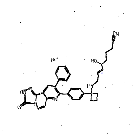 C#CCCCC(O)/C=C/CNC1(c2ccc(-c3nc4ccn5c(=O)[nH]nc5c4cc3-c3ccccc3)cc2)CCC1.Cl